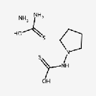 N.NC(O)=S.OC(=S)NN1CCCC1